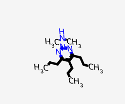 CCCc1nnnc(CCC)c1CCC.CNC